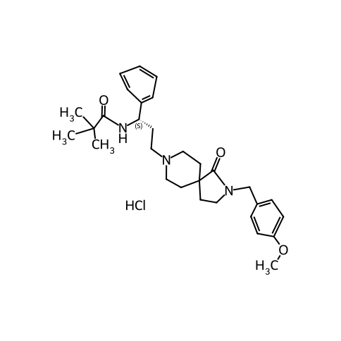 COc1ccc(CN2CCC3(CCN(CC[C@H](NC(=O)C(C)(C)C)c4ccccc4)CC3)C2=O)cc1.Cl